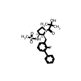 CC(C)(O)C(=O)N1CC[C@H](NS(C)(=O)=O)[C@@H]1Cc1cccc(-c2ccccc2)c1F